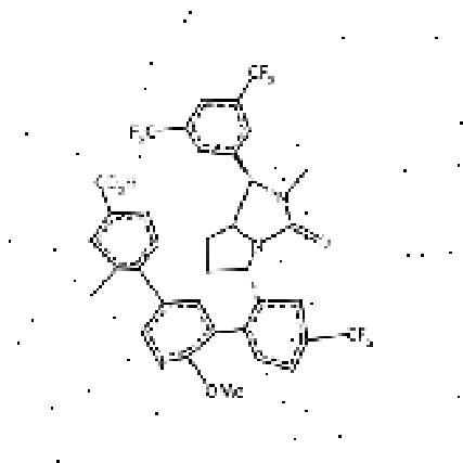 COc1ncc(-c2ccc(C(=O)O)cc2C)cc1-c1ccc(C(F)(F)F)cc1[C@@H]1CCC2[C@@H](c3cc(C(F)(F)F)cc(C(F)(F)F)c3)N(C)C(=O)N21